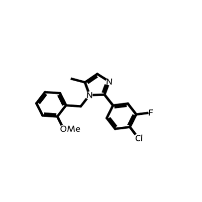 COc1ccccc1Cn1c(C)cnc1-c1ccc(Cl)c(F)c1